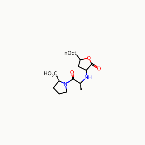 CCCCCCCCC1CC(N[C@@H](C)C(=O)N2CCC[C@H]2C(=O)O)C(=O)O1